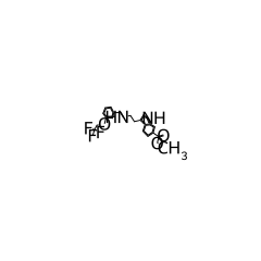 COC(=O)c1ccc2c(CCNCc3cccc(OCC(F)(F)F)c3)c[nH]c2c1